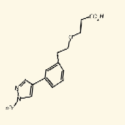 CCCn1cc(-c2cccc(CCOCCC(=O)O)c2)cn1